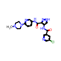 CN1CCN(c2ccc(NC(=O)c3n[nH]cc3NC(=O)c3cncc(Cl)c3)cn2)CC1